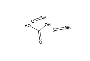 O=C(O)O.[O]=[BiH].[S]=[BiH]